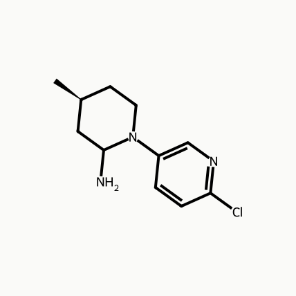 C[C@H]1CCN(c2ccc(Cl)nc2)C(N)C1